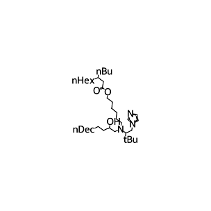 CCCCCCCCCCCCC(O)CN(CCCCCCOC(=O)CC(CCCC)CCCCCC)C(Cn1ccnc1)C(C)(C)C